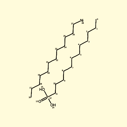 CCCCCCCCCCCCP(=O)(O)O.CCCCCCCCCCC[CH2][Ni]